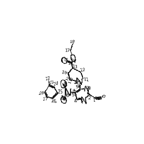 C#Cc1ncc([N+](=O)[O-])c(N2CCC(C(=O)OCC)CC2)n1.Cc1ccccc1